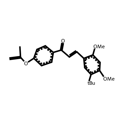 C=C(C)Oc1ccc(C(=O)C=Cc2cc(C(C)(C)C)c(OC)cc2OC)cc1